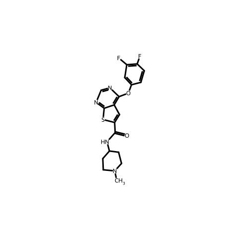 CN1CCC(NC(=O)c2cc3c(Oc4ccc(F)c(F)c4)ncnc3s2)CC1